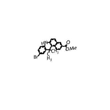 COC(=O)c1ccc2c3c(ccc2c1)Nc1ccc(Br)cc1C3(C)C